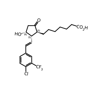 O=C(O)CCCCCC[C@@H]1C(=O)C[C@@H](O)[C@H]1C=Cc1ccc(Cl)c(C(F)(F)F)c1